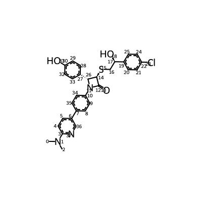 CN(C)c1ccc(-c2ccc(N3C(=O)[C@H](SC[C@@H](O)c4ccc(Cl)cc4)[C@H]3c3ccc(O)cc3)cc2)cn1